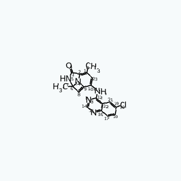 CC1=C2C(=O)NC3(C)C=C(C(Nc4ncnc5ccc(Cl)cc45)=C1)N23